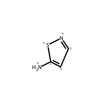 Nc1ccns1